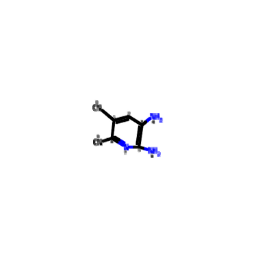 [C-]#[N+]c1cc(N)c(N)nc1[N+]#[C-]